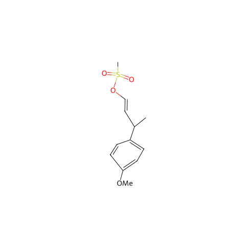 COc1ccc(C(C)/C=C/OS(C)(=O)=O)cc1